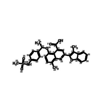 Cc1c(-c2cc(C(=O)O)c3c(O[C@H](C)c4ccc(NS(C)(=O)=O)cc4)ccc(C)c3n2)oc2ccccc12